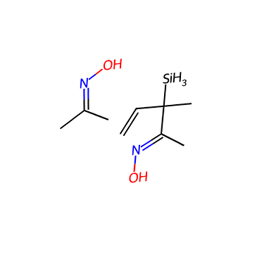 C=CC(C)([SiH3])C(C)=NO.CC(C)=NO